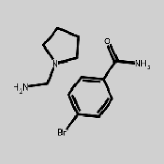 NC(=O)c1ccc(Br)cc1.NCN1CCCC1